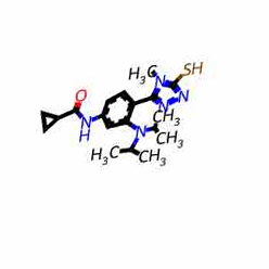 CC(C)N(c1cc(NC(=O)C2CC2)ccc1-c1nnc(S)n1C)C(C)C